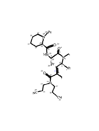 C/C(=C\[C@H](C(C)C)N(C)C(=O)[C@@H](NC(=O)[C@H]1CCCCN1C(C)C)C(C)C)C(=O)N(CCC#N)CCC#N